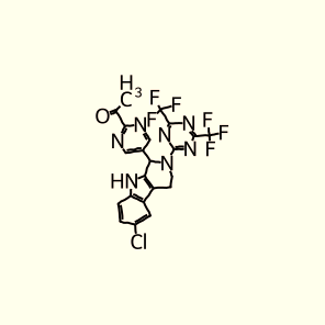 CC(=O)c1ncc(C2c3[nH]c4ccc(Cl)cc4c3CCN2c2nc(C(F)(F)F)nc(C(F)(F)F)n2)cn1